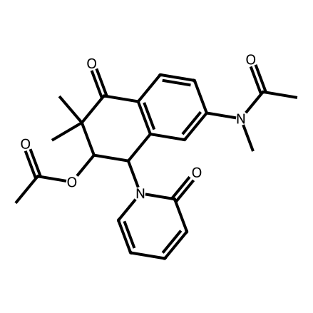 CC(=O)OC1C(n2ccccc2=O)c2cc(N(C)C(C)=O)ccc2C(=O)C1(C)C